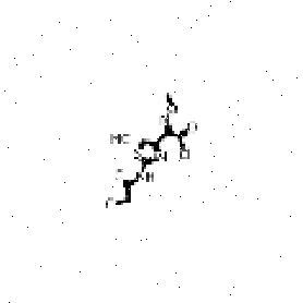 CON=C(C(=O)Cl)c1csc(NC(=O)CCl)n1.Cl